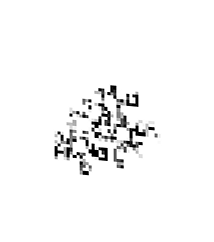 Cn1c2c(c(=O)[nH]c1=O)CCC(Cc1ccc(Cl)cc1)C(Oc1ccc(Cl)c(C(F)(F)F)c1)=N2